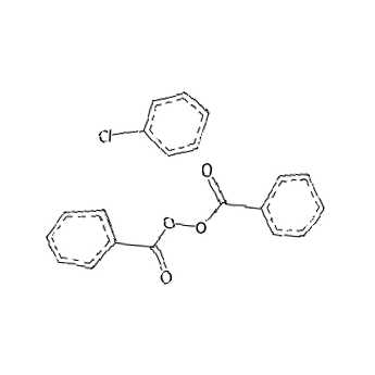 Clc1ccccc1.O=C(OOC(=O)c1ccccc1)c1ccccc1